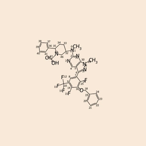 CN(c1ncc2c(-c3cc(C(F)(F)F)c(F)c(OCc4ccccc4)c3F)nn(C)c2n1)C1CCC(c2ccccc2)N(C(=O)O)C1